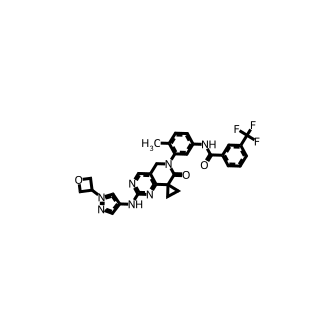 Cc1ccc(NC(=O)c2cccc(C(F)(F)F)c2)cc1N1Cc2cnc(Nc3cnn(C4COC4)c3)nc2C2(CC2)C1=O